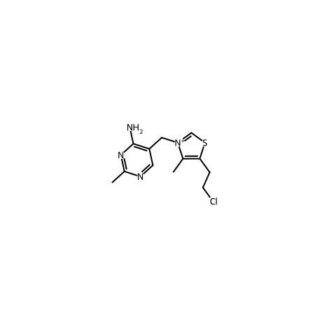 Cc1ncc(C[n+]2csc(CCCl)c2C)c(N)n1